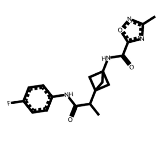 Cc1noc(C(=O)NC23CC(C(C)C(=O)Nc4ccc(F)cc4)(C2)C3)n1